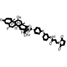 C[C@]12C=CC(=O)C=C1[C@@H](F)C[C@H]1[C@@H]3C[C@H]4O[C@@H](c5ccc(Sc6cccc(NC(=O)CCN7C(=O)C=CC7=O)c6)cc5)O[C@@]4(C(=O)CO)[C@@]3(C)C[C@H](O)[C@@]12F